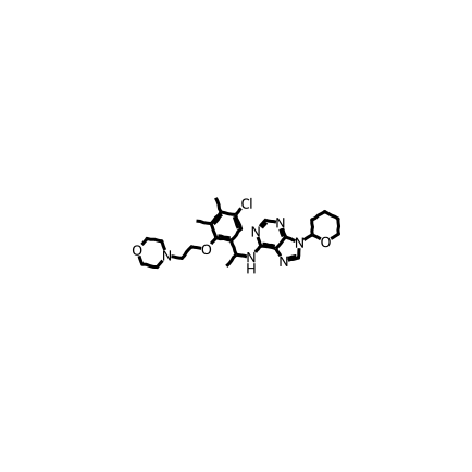 Cc1c(Cl)cc(C(C)Nc2ncnc3c2ncn3C2CCCCO2)c(OCCN2CCOCC2)c1C